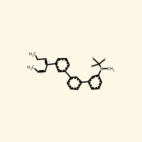 C/C=C\C(=C/CC)c1cccc(-c2cccc(-c3cccc(N(C)C(I)(I)I)c3)c2)c1